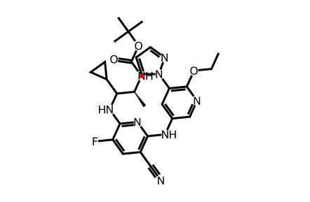 CCOc1ncc(Nc2nc(NC(C3CC3)[C@H](C)NC(=O)OC(C)(C)C)c(F)cc2C#N)cc1-n1cccn1